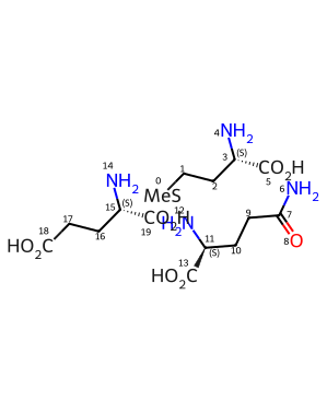 CSCC[C@H](N)C(=O)O.NC(=O)CC[C@H](N)C(=O)O.N[C@@H](CCC(=O)O)C(=O)O